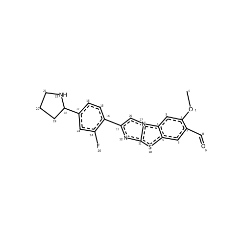 COc1cc2c(cc1C=O)sc1nc(-c3ccc(C4CCCN4)cc3F)cn12